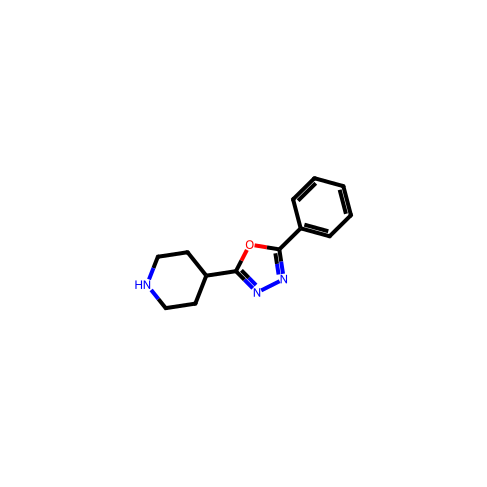 c1ccc(-c2nnc(C3CCNCC3)o2)cc1